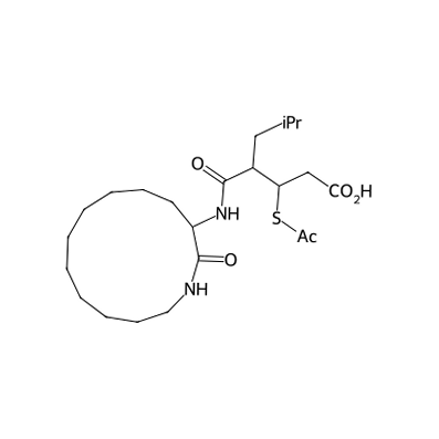 CC(=O)SC(CC(=O)O)C(CC(C)C)C(=O)NC1CCCCCCCCCCNC1=O